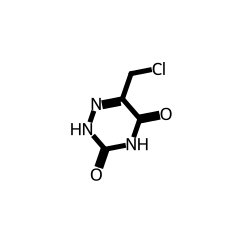 O=c1[nH]nc(CCl)c(=O)[nH]1